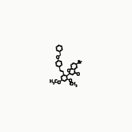 COc1cc(C=Cc2ccc(OCc3ccccc3)cc2)c(-c2cc(=O)c3cc(Br)ccc3o2)c(OC)c1